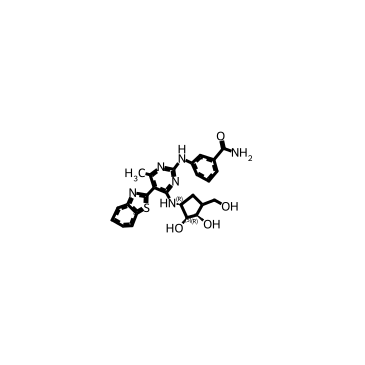 Cc1nc(Nc2cccc(C(N)=O)c2)nc(N[C@@H]2CC(CO)[C@@H](O)[C@H]2O)c1-c1nc2ccccc2s1